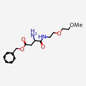 COCCOCCNC(=O)C(N)CC(=O)OCc1ccccc1